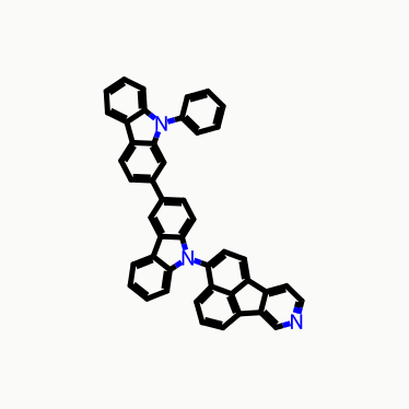 c1ccc(-n2c3ccccc3c3ccc(-c4ccc5c(c4)c4ccccc4n5-c4ccc5c6c(cccc46)-c4cnccc4-5)cc32)cc1